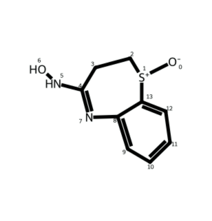 [O-][S+]1CCC(NO)=Nc2ccccc21